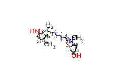 C=C(/C=C/C=C/C=C1\Sc2cc(O)ccc2N1C)Sc1cc(O)ccc1C